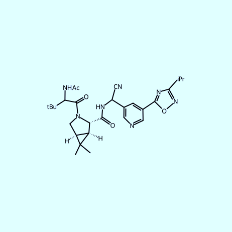 CC(=O)NC(C(=O)N1C[C@H]2[C@@H]([C@H]1C(=O)NC(C#N)c1cncc(-c3nc(C(C)C)no3)c1)C2(C)C)C(C)(C)C